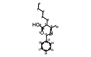 CCCCCC(C(=O)O)C(C)=NCc1ccccc1